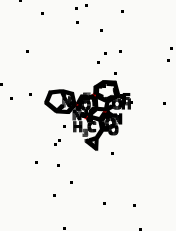 Cc1nc(N2C3CCC2CC(OCc2c(-c4c(F)cccc4F)noc2C2CC2)C3)ccc1C(=O)O